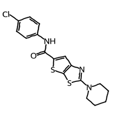 O=C(Nc1ccc(Cl)cc1)c1cc2nc(N3CCCCC3)sc2s1